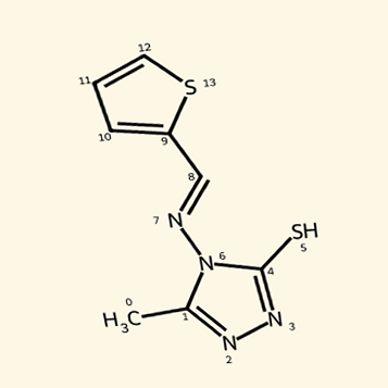 Cc1nnc(S)n1N=Cc1cccs1